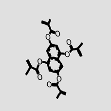 C=C(C)C(=O)Oc1cc(OC(=O)C(=C)C)c2cc(OC(=O)C(=C)C)cc(OC(=O)C(=C)C)c2c1